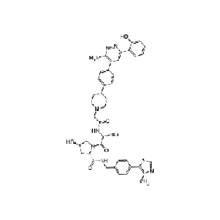 Cc1ncsc1-c1ccc(CNC(=O)[C@@H]2C[C@@H](O)CN2C(=O)[C@@H](NC(=O)CN2CCC(c3ccc(-c4cc(-c5ccccc5O)nnc4N)cc3)CC2)C(C)(C)C)cc1